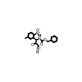 Cc1ccc([N+](=O)[O-])c(C(NC(=O)OCc2ccccc2)C(=O)C=[N+]=[N-])c1